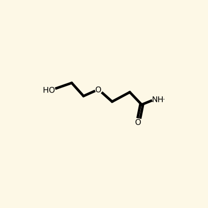 [NH]C(=O)CCOCCO